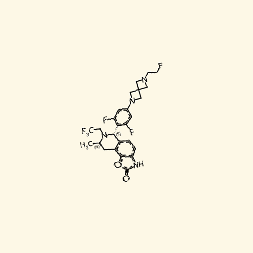 C[C@@H]1Cc2c(ccc3[nH]c(=O)oc23)[C@@H](c2c(F)cc(N3CC4(CN(CCF)C4)C3)cc2F)N1CC(F)(F)F